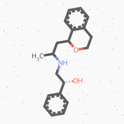 CC(CC1OCCc2ccccc21)NC[C@H](O)c1ccccc1